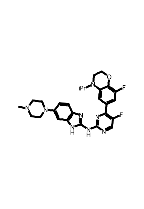 CC(C)N1CCOc2c(F)cc(-c3nc(Nc4nc5ccc(N6CCN(C)CC6)cc5[nH]4)ncc3F)cc21